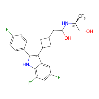 OC[C@@H](NC(O)CC1CC(c2c(-c3ccc(F)cc3)[nH]c3c(F)cc(F)cc23)C1)C(F)(F)F